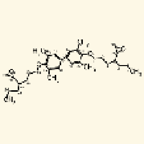 CCCC(CCCOc1c(C)cc(-c2cc(C)c(OCCCC(CCC)C3CO3)c(C)c2)cc1C)C1CO1